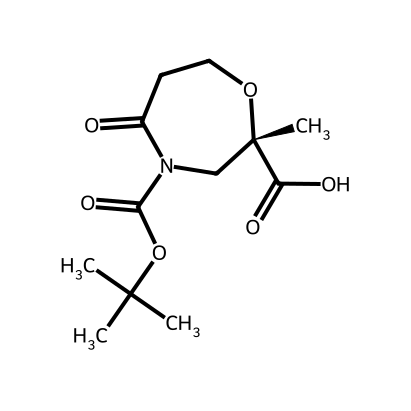 CC(C)(C)OC(=O)N1C[C@@](C)(C(=O)O)OCCC1=O